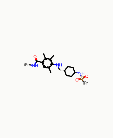 Cc1cc(C(=O)NC(C)C)c(C)c(C)c1NC[C@H]1CC[C@H](NS(=O)(=O)C(C)C)CC1